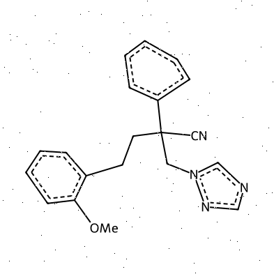 COc1ccccc1CCC(C#N)(Cn1cncn1)c1ccccc1